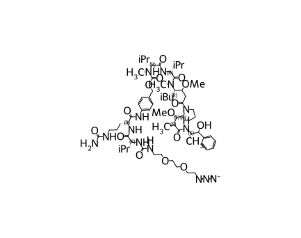 CC[C@@H](C)C(C(CC(=O)N1CCC[C@@H]1[C@@H](OC)[C@H](C)C(=O)N[C@@H](C)C(O)c1ccccc1)OC)N(C)C(=O)[C@H](NC(=O)[C@@H](C(C)C)N(C)C(=O)OCc1ccc(NC(=O)[C@@H](CCCNC(N)=O)NC(=O)[C@H](NC(=O)NCCOCCOCCN=[N+]=[N-])C(C)C)cc1)C(C)C